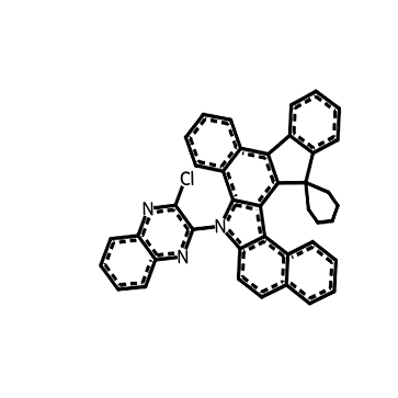 Clc1nc2ccccc2nc1-n1c2ccc3ccccc3c2c2c3c(c4ccccc4c21)-c1ccccc1C31CCCCC1